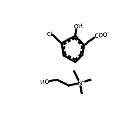 C[N+](C)(C)CCO.O=C([O-])c1cccc(Cl)c1O